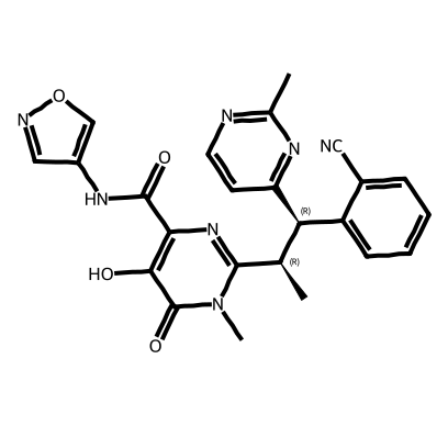 Cc1nccc([C@@H](c2ccccc2C#N)[C@@H](C)c2nc(C(=O)Nc3cnoc3)c(O)c(=O)n2C)n1